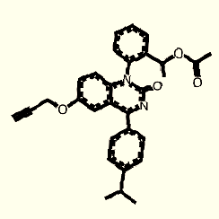 C#CCOc1ccc2c(c1)c(-c1ccc(C(C)C)cc1)nc(=O)n2-c1ccccc1C(C)OC(C)=O